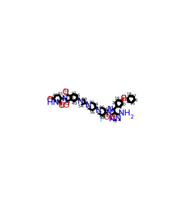 Nc1ncnc2c1c(-c1ccc(Oc3ccccc3)cc1)nn2[C@]1(O)CCN(C2CCN(C3CN(c4ccc5c(c4)C(=O)N(C4CCC(=O)NC4=O)C5=O)C3)CC2)C[C@@H]1F